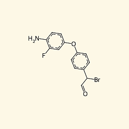 Nc1ccc(Oc2ccc(C(Br)C=O)cc2)cc1F